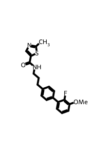 COc1cccc(-c2ccc(CCCNC(=O)c3cnc(C)s3)cc2)c1F